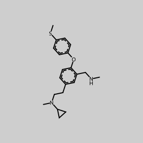 CNCc1cc(CCN(C)C2CC2)ccc1Oc1ccc(SC)cc1